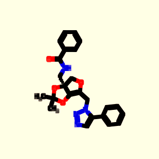 CC1(C)OC2=C(Cn3nncc3-c3ccccc3)OC[C@]2(CNC(=O)c2ccccc2)O1